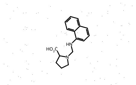 O=C(O)C1CCCN1CNc1cccc2ccccc12